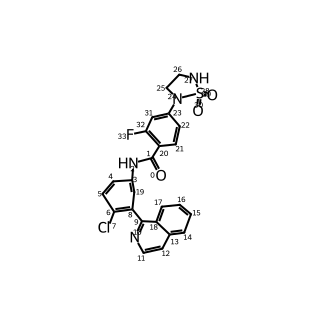 O=C(Nc1ccc(Cl)c(-c2nccc3ccccc23)c1)c1ccc(N2CCNS2(=O)=O)cc1F